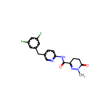 CN1N=C(C(=O)Nc2ccc(Cc3cc(F)cc(F)c3)cn2)CCC1=O